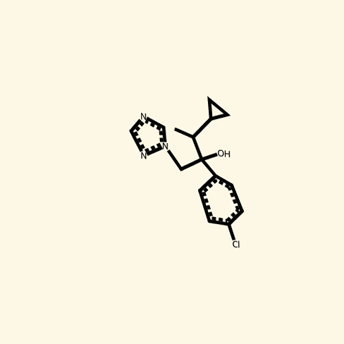 CC(C1CC1)C(O)(Cn1cncn1)c1ccc(Cl)cc1